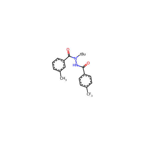 Cc1cccc(C(=O)N(NC(=O)c2ccc(C(F)(F)F)cc2)C(C)(C)C)c1